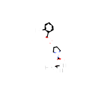 Cc1ccccc1C(=O)OC[C@@H]1CCN(C(=O)OC(C)(C)C)C1